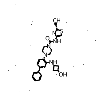 C#Cc1nc(NC(=O)N2CCN(c3ccc(-c4ccccc4)cc3NC3CC(O)C3)CC2)cs1